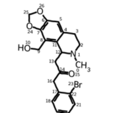 CN1CCc2cc3c(c(CO)c2C1CC(=O)Cc1ccccc1Br)OCO3